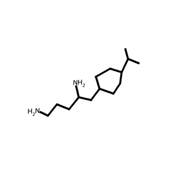 CC(C)C1CCC(CC(N)CCCN)CC1